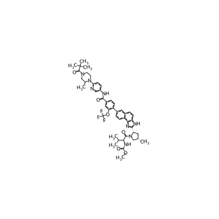 COC(=O)N[C@H](C(=O)N1C[C@@H](C)C[C@H]1c1nc2c(ccc3cc(-c4ccc(C(=O)Nc5ccc(N6CCN(C(=O)C(C)(C)C)CC6C)nc5)cc4OC(F)(F)F)ccc32)[nH]1)C(C)C